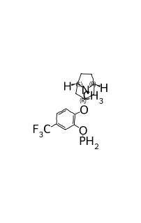 CN1[C@@H]2CC[C@H]1C[C@@H](Oc1ccc(C(F)(F)F)cc1OP)C2